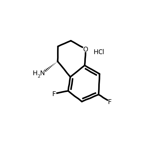 Cl.N[C@@H]1CCOc2cc(F)cc(F)c21